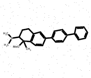 COC1(C)c2ccc(-c3ccc(-c4ccccc4)cc3)cc2CCC1N(C)C